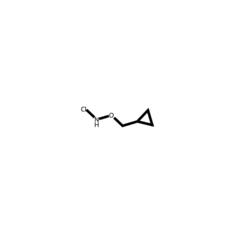 ClNOCC1CC1